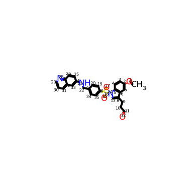 COc1ccc2c(c1)c(CCC=O)cn2S(=O)(=O)c1ccc(CNc2ccc3ncccc3c2)cc1